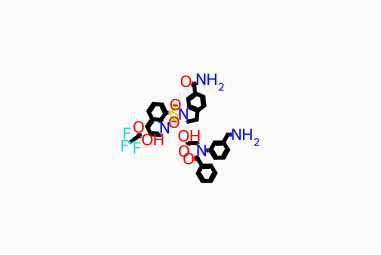 NC(=O)c1ccc2c(c1)N(S(=O)(=O)c1cccc3cccnc13)CC2.NCc1cccc(N(CC(=O)O)C(=O)c2ccccc2)c1.O=C(O)C(F)(F)F